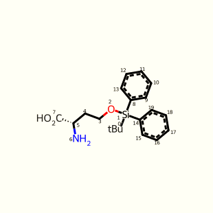 CC(C)(C)[Si](OCC[C@H](N)C(=O)O)(c1ccccc1)c1ccccc1